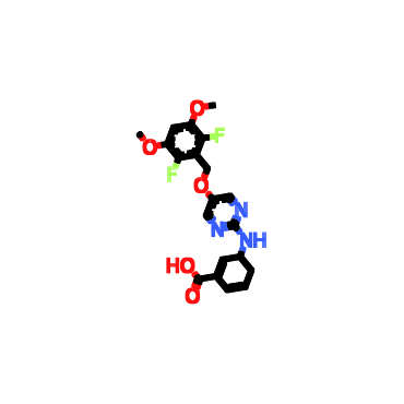 COc1cc(OC)c(F)c(COc2cnc(NC3C=C(C(=O)O)C=CC3)nc2)c1F